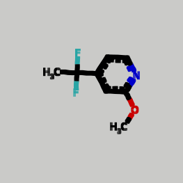 COc1cc(C(C)(F)F)ccn1